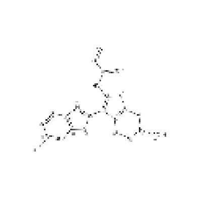 C=CC(=O)Nc1sc2c(c1-c1nc3ccc(F)cc3s1)CCN(C(=O)O)C2